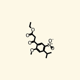 CCOC(=O)CC(=O)c1cc([N+](=O)[O-])c(C(C)C)cc1OC